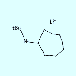 CC(C)(C)[N-]C1CCCCC1.[Li+]